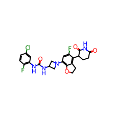 O=C1CCC(c2c(F)cc(N3CC(NC(=O)Nc4cc(Cl)ccc4F)C3)c3c2CCO3)C(=O)N1